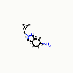 Nc1ccc2cn(CC3CC3)nc2c1